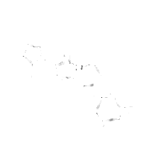 Cc1ccc(C)n1-c1nc2cc(-c3cccc(Cl)n3)ccn2n1